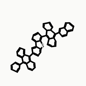 C1=CC2C(c3ccc4ccccc4c3)=c3ccccc3=C(c3cccc4c3sc3ccc(-c5c6ccccc6c(-c6ccccc6)c6ccccc56)cc34)C2C=C1